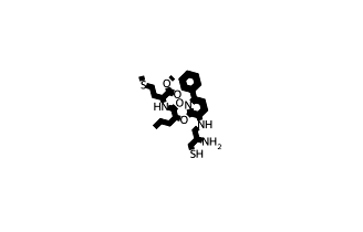 CCCC(Oc1nc(-c2ccccc2)ccc1NCC(N)CS)C(=O)NC(CCSC)C(=O)OC